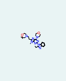 CCc1nc2ccccc2n1-c1nc(N2CCOCC2)c2nc(CCN3CCOC(C)(C)C3)n(C)c2n1